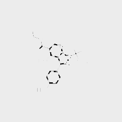 CCOC(=O)c1cnc2c(c(-c3ccc(C)cc3)nn2C(C)(C)C)c1O